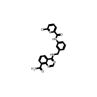 NC(=O)c1cccc2c(NCc3cccc(NC(=O)c4cccc(Cl)n4)c3)ncnc12